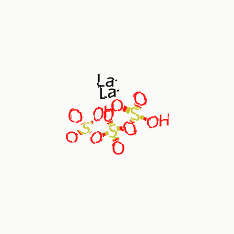 O=S(=O)(O)OS(=O)(=O)OS(=O)(=O)O.[La].[La]